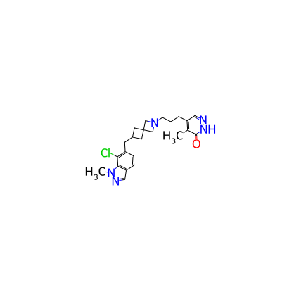 Cc1c(CCCN2CC3(CC(Cc4ccc5cnn(C)c5c4Cl)C3)C2)cn[nH]c1=O